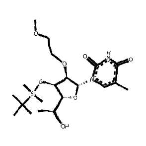 COCCO[C@@H]1[C@H](O[Si](C)(C)C(C)(C)C)[C@@H]([C@H](C)O)O[C@H]1n1cc(C)c(=O)[nH]c1=O